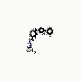 C=C/C=C\C=C/CC1=CC=C(Nc2ccc(C3=CC=CC=CC3)cc2)CC=C1